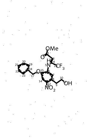 COC(=O)/C=C(\Nc1cc(CCO)c([N+](=O)[O-])cc1OCc1ccccc1)C(F)(F)F